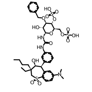 CCCC[C@]1(CC)CS(=O)(=O)c2ccc(N(C)C)cc2[C@H](c2cccc(NC(=O)N[C@@H]3O[C@H](COS(=O)(=O)O)[C@@H](OS(=O)(=O)O)[C@H](OCc4ccccc4)[C@H]3O)c2)[C@@H]1O